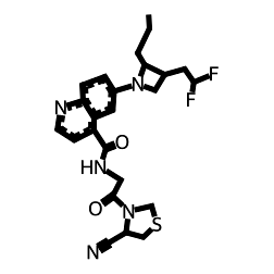 CCCC1C(CC(F)F)CN1c1ccc2nccc(C(=O)NCC(=O)N3CSCC3C#N)c2c1